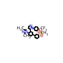 Cc1cn(-c2ccc(-c3cccc(S(C)(=O)=O)c3)cc2-c2ccnn2-c2ccc(OC(F)(F)F)cc2)c(C)n1